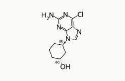 Nc1nc(Cl)c2ncn([C@@H]3CCC[C@@H](O)C3)c2n1